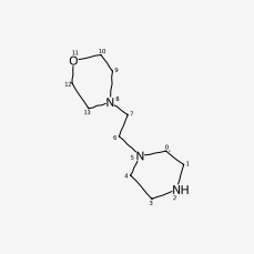 [CH]1CNCCN1CCN1CCOCC1